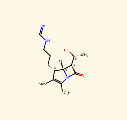 CSC1=C(C(=O)O)N2C(=O)[C@H]([C@@H](C)O)[C@H]2[C@H]1CCCNC=N